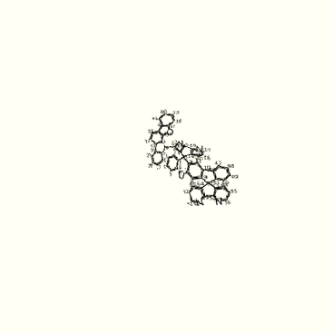 c1ccc2c(c1)Oc1cc3c(cc1C21c2cccnc2-c2ncc(C4c5ccccc5-c5ccc6c(oc7ccccc76)c54)cc21)-c1ccccc1C31c2cccnc2-c2ncccc21